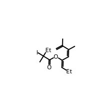 C=C(C)/C(C)=C\C(=C/CC)OC(=O)C(C)(I)CC